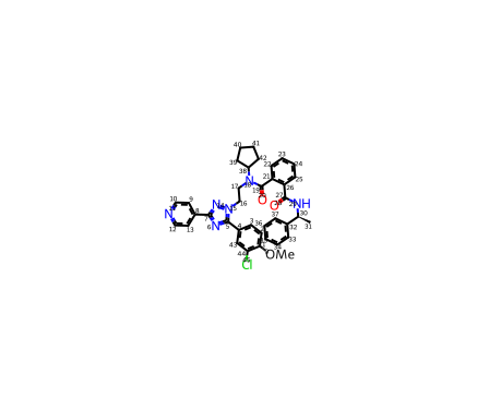 COc1ccc(-c2nc(-c3ccncc3)nn2CCN(C(=O)c2ccccc2C(=O)N[C@@H](C)c2ccccc2)C2CCCC2)cc1Cl